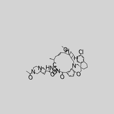 CO[C@H]1/C=C/C[C@H](C)C[S@@](=O)(NC(=O)c2cc3n(c2)CCN(C(C)=O)C3)=NC(=O)c2ccc3c(c2)N(C[C@@H]2CC[C@H]21)C[C@@]1(CCCc2cc(Cl)ccc21)CO3